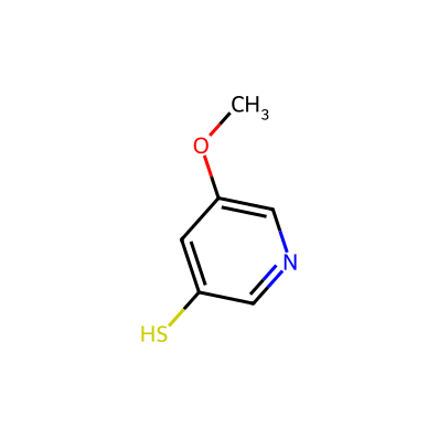 COc1cncc(S)c1